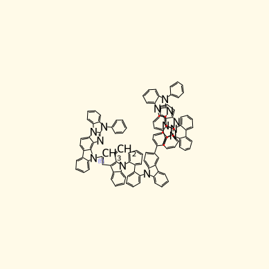 C=Cc1c(/C=C(\C)n2c3ccccc3c3ccc4c(nc5n(-c6ccccc6)c6ccccc6n45)c32)c2ccccc2n1-c1ccccc1-c1ccccc1-n1c2ccccc2c2cc(-c3ccc4c(c3)n(-c3ccccc3-c3ccccc3-n3c5ccccc5c5ccc6c(nc7n(-c8ccccc8)c8ccccc8n67)c53)c3nc5ccccc5n43)ccc21